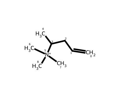 C=CCC(C)[N+](C)(C)C